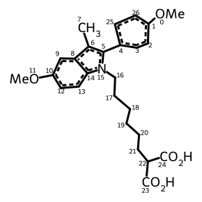 COc1ccc(-c2c(C)c3cc(OC)ccc3n2CCCCCCC(C(=O)O)C(=O)O)cc1